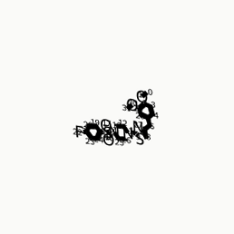 COc1ccc(Cc2csc(N3CCN(S(=O)(=O)c4ccc(F)cc4)CC3)n2)cc1OC